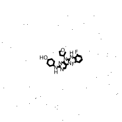 OC1CCC(Nc2ncc3nc(Nc4c(F)cccc4F)n([C@H]4CCOC4)c3n2)CC1